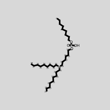 CCCCCCCCCOP(=O)(O)OCCCCCCN(CCCCCCCCC)CCCCCCCCC